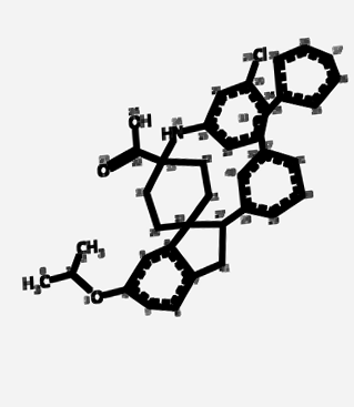 CC(C)Oc1ccc2c(c1)C1(CCC(Nc3cccc(Cl)c3)(C(=O)O)CC1)C(c1cccc(Oc3ccccc3)c1)C2